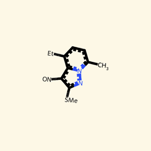 CCc1ccc(C)n2nc(SC)c(N=O)c12